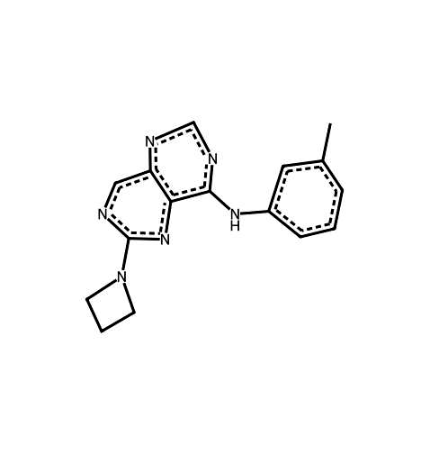 Cc1cccc(Nc2ncnc3cnc(N4CCC4)nc23)c1